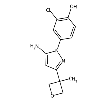 CC1(c2cc(N)n(-c3ccc(O)c(Cl)c3)n2)COC1